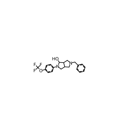 OC1C2CN(Cc3ccccc3)CC2CN1c1ccc(OC(F)(F)F)cc1